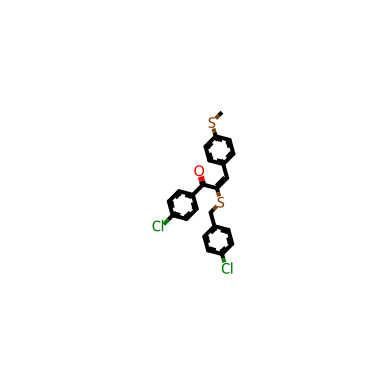 CSc1ccc(/C=C(/SCc2ccc(Cl)cc2)C(=O)c2ccc(Cl)cc2)cc1